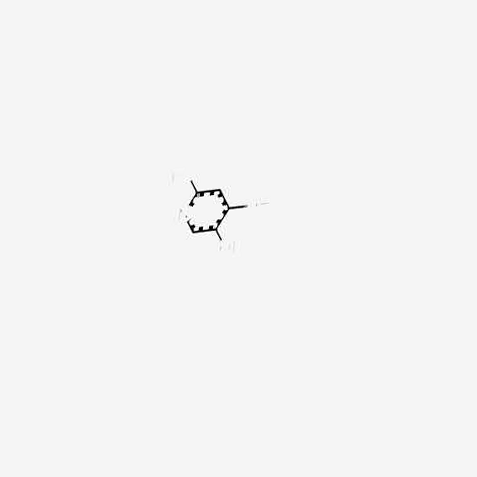 CC(C)c1cc(O)c(O)cn1